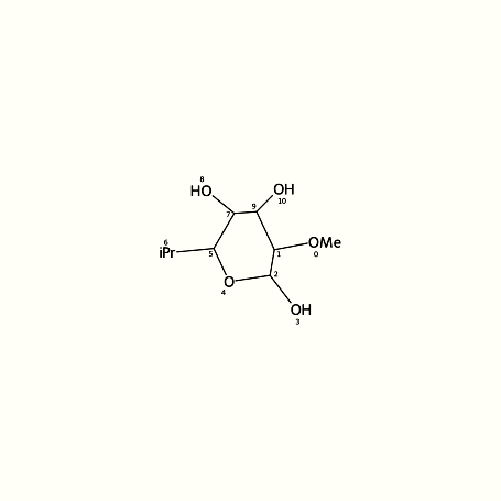 COC1C(O)OC(C(C)C)C(O)C1O